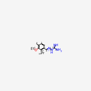 CCOc1c(C)ccc(/C=N/NC(=N)N)c1C(C)C